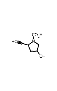 C#CC1CC(O)CN1C(=O)O